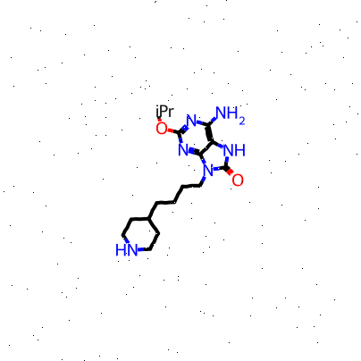 CC(C)Oc1nc(N)c2[nH]c(=O)n(CCCCC3CCNCC3)c2n1